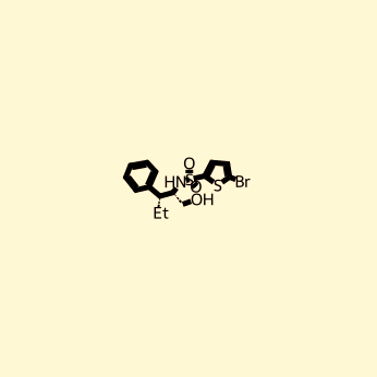 CC[C@H](c1ccccc1)[C@@H](CO)NS(=O)(=O)c1ccc(Br)s1